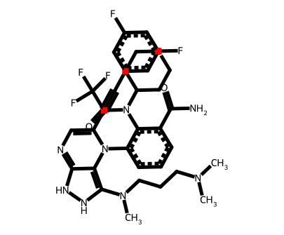 CN(C)CCCN(C)C1=C2C(=NC=C(C#Cc3cc(F)cc(F)c3)N2c2cccc(C(N)=O)c2N(C(=O)C(F)(F)F)C2CCOCC2)NN1